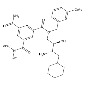 CCCN(CCC)C(=O)c1cc(C(N)=O)cc(C(=O)N(Cc2cccc(OC)c2)C[C@@H](O)[C@@H](N)CC2CCCCC2)c1